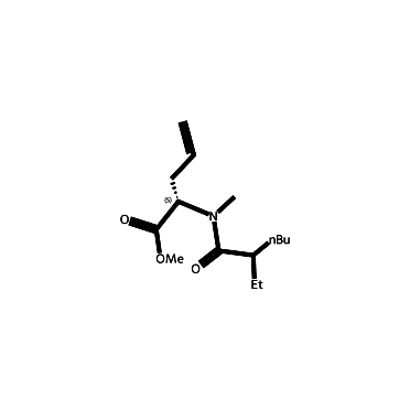 C=CC[C@@H](C(=O)OC)N(C)C(=O)C(CC)CCCC